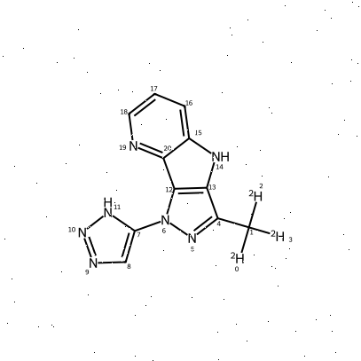 [2H]C([2H])([2H])c1nn(-c2cnn[nH]2)c2c1[nH]c1cccnc12